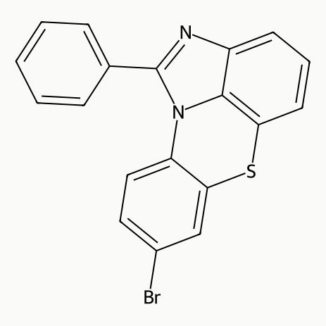 Brc1ccc2c(c1)Sc1cccc3nc(-c4ccccc4)n-2c13